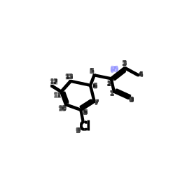 C=C/C(=C\C)CC1C=C(Cl)C=C(C)C1